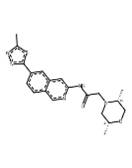 Cc1nnc(-c2ccc3cnc(NC(=O)CN4C[C@@H](C)OC[C@H]4C)cc3c2)s1